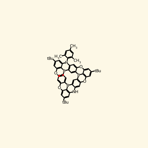 Cc1cc(C)c(N2c3cc4c(cc3B3c5ccccc5Oc5cc(C(C)(C)C)cc2c53)B2c3cc5c(cc3Oc3cc(C(C)(C)C)cc(c32)O4)Nc2cc(C(C)(C)C)cc3c2B5c2ccccc2O3)c(C)c1